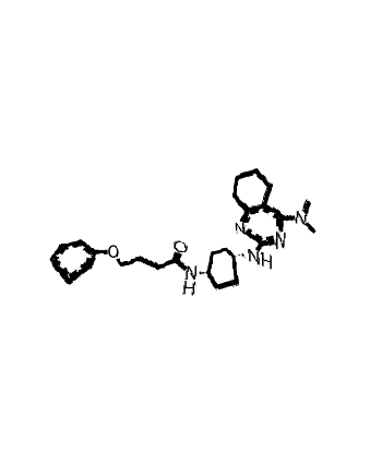 CN(C)c1nc(N[C@H]2CC[C@@H](NC(=O)CCCOc3ccccc3)CC2)nc2c1CCCC2